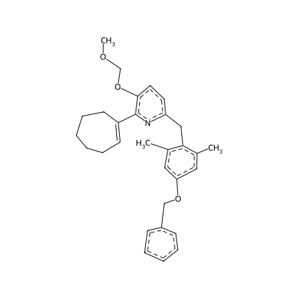 COCOc1ccc(Cc2c(C)cc(OCc3ccccc3)cc2C)nc1C1=CCCCCC1